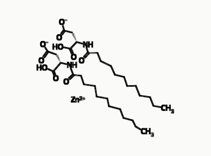 CCCCCCCCCCCC(=O)N[C@@H](CC(=O)[O-])C(=O)O.CCCCCCCCCCCC(=O)N[C@@H](CC(=O)[O-])C(=O)O.[Zn+2]